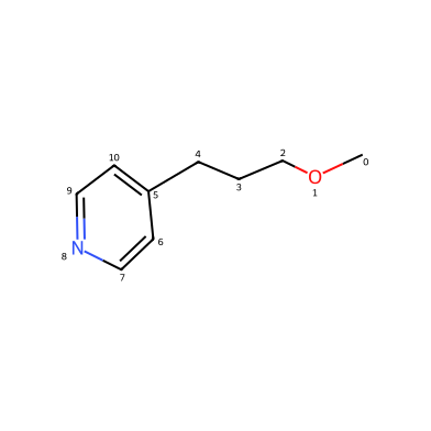 COCCCc1ccncc1